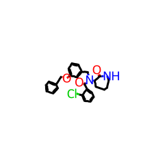 O=C1NCCCCC1N(Cc1cccc(OCc2ccccc2)c1)C(=O)c1ccccc1Cl